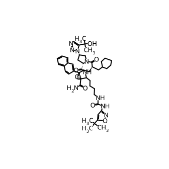 CC(C)(C)c1cc(NC(=O)NCCCCC(NC(=O)[C@@H]2C[C@H](n3nncc3C(C)(C)O)CN2C(=O)[C@H](CCC(=O)c2ccc3ccccc3c2)CC2CCCCC2)C(=O)C(N)=O)no1